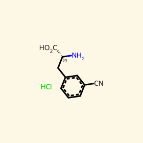 Cl.N#Cc1cccc(C[C@@H](N)C(=O)O)c1